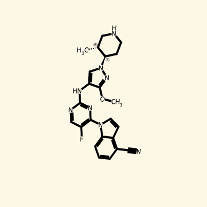 COc1nn([C@@H]2CCNC[C@H]2C)cc1Nc1ncc(F)c(-n2ccc3c(C#N)cccc32)n1